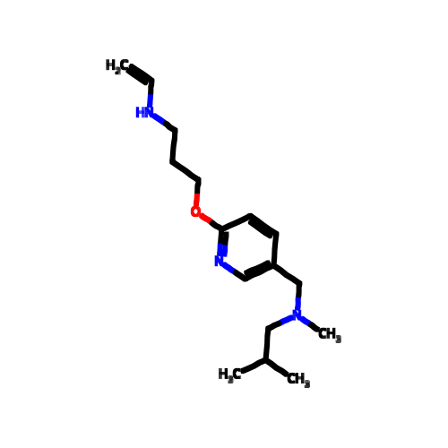 C=CNCCCOc1ccc(CN(C)CC(C)C)cn1